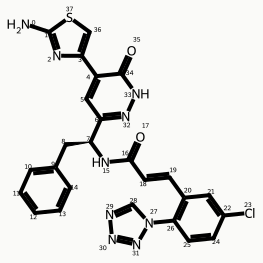 Nc1nc(-c2cc([C@H](Cc3ccccc3)NC(=O)C=Cc3cc(Cl)ccc3-n3cnnn3)n[nH]c2=O)cs1